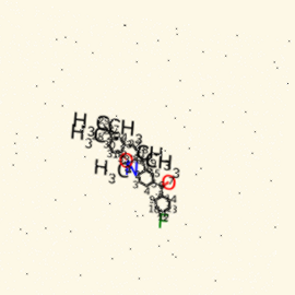 CN1c2ccc(C(=O)c3ccc(F)cc3)cc2C(C)(C)C12C=Cc1cc(C(C)(C)C)ccc1O2